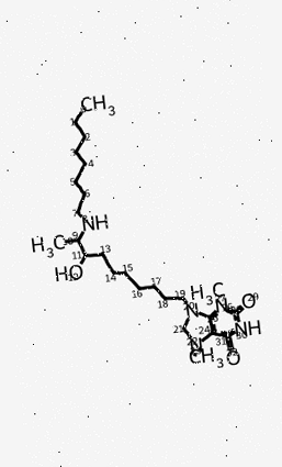 CCCCCCCCNC(C)C(O)CCCCCCCN1CN(C)c2c1n(C)c(=O)[nH]c2=O